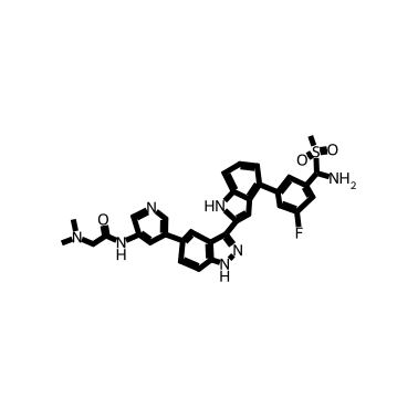 CN(C)CC(=O)Nc1cncc(-c2ccc3[nH]nc(-c4cc5c(-c6cc(F)cc(C(N)S(C)(=O)=O)c6)cccc5[nH]4)c3c2)c1